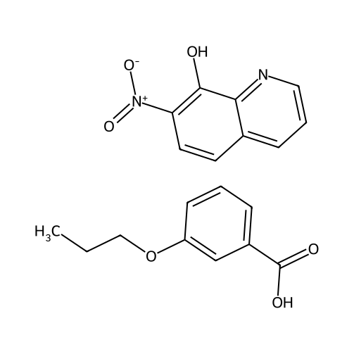 CCCOc1cccc(C(=O)O)c1.O=[N+]([O-])c1ccc2cccnc2c1O